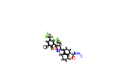 NC(=O)c1ccc(C2=NO[C@](c3cc(C(F)(F)F)cc(Cl)c3F)(C(F)(F)F)C2)c2ccccc12